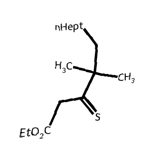 CCCCCCCCC(C)(C)C(=S)CC(=O)OCC